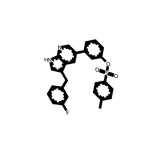 Cc1ccc(S(=O)(=O)Oc2cccc(-c3cnc4[nH]cc(Cc5cccc(F)c5)c4c3)c2)cc1